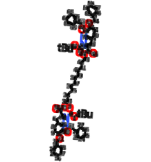 CC(C)(C)OC(=O)N[C@@H](Cc1ccc(OCc2ccccc2)c(OCc2ccccc2)c1)C(=O)OCCCCCCCCCCCCOC(=O)[C@H](Cc1ccc(OCc2ccccc2)c(OCc2ccccc2)c1)NC(=O)OC(C)(C)C